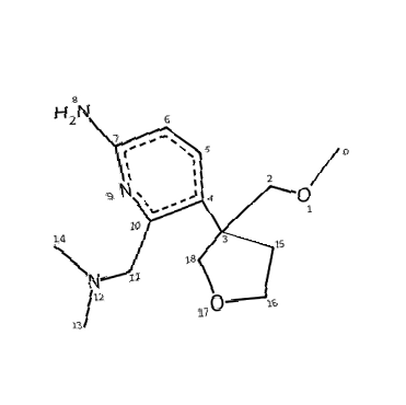 COCC1(c2ccc(N)nc2CN(C)C)CCOC1